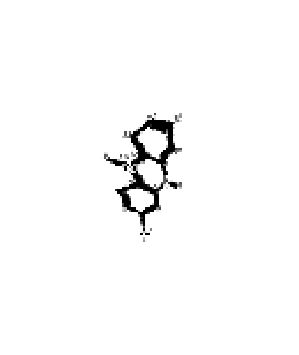 CC(=O)c1ccc2c(c1)N(C)c1ccccc1N2C